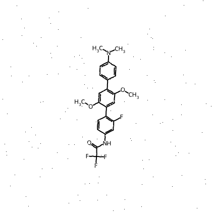 COc1cc(-c2ccc(NC(=O)C(F)(F)F)cc2F)c(OC)cc1-c1ccc(N(C)C)cc1